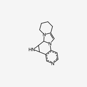 C1=C2CCCCN2C2C3NC3c3cnccc3N12